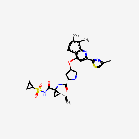 C=C[C@@H]1CC1(NC(=O)[C@@H]1C[C@@H](Oc2cc(-c3nc(C(C)C)cs3)nc3c(C)c(OC)ccc23)CN1)C(=O)NS(=O)(=O)C1CC1